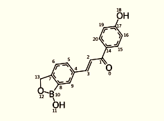 O=C(/C=C/c1ccc2c(c1)B(O)OC2)c1ccc(O)cc1